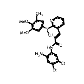 CCc1cc(N)c(NC(=O)/C=C/c2cccnc2N(C)c2cc(C)c(OC)c(OC)c2)cc1CC